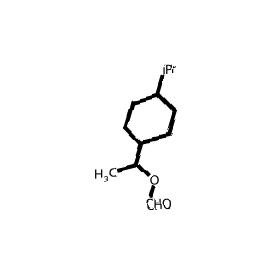 CC(C)C1CCC(C(C)OC=O)CC1